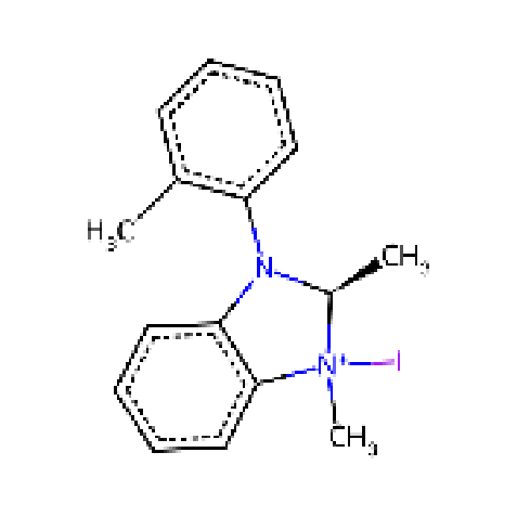 Cc1ccccc1N1c2ccccc2[N+](C)(I)[C@@H]1C